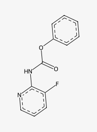 O=C(Nc1ncccc1F)Oc1ccccc1